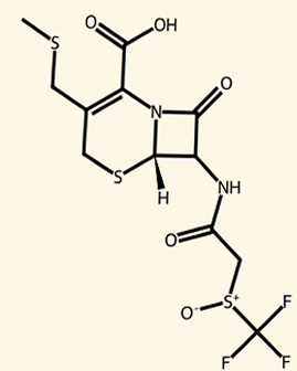 CSCC1=C(C(=O)O)N2C(=O)C(NC(=O)C[S+]([O-])C(F)(F)F)[C@@H]2SC1